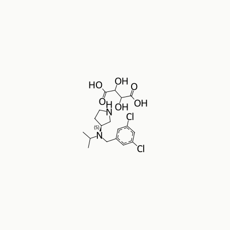 CC(C)N(Cc1cc(Cl)cc(Cl)c1)[C@H]1CCNC1.O=C(O)C(O)C(O)C(=O)O